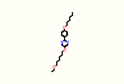 CCCCCCOc1ccc(-c2ncc(OCCCCCCOCC)cn2)cc1